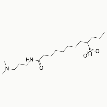 CCCC(CCCCCCCC(=O)NCCCN(C)C)[SH](=O)=O